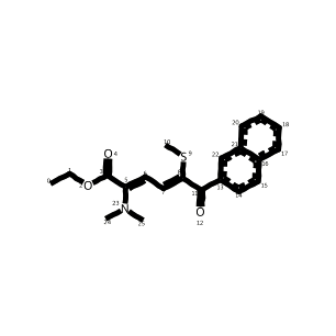 CCOC(=O)C(=CC=C(SC)C(=O)c1ccc2ccccc2c1)N(C)C